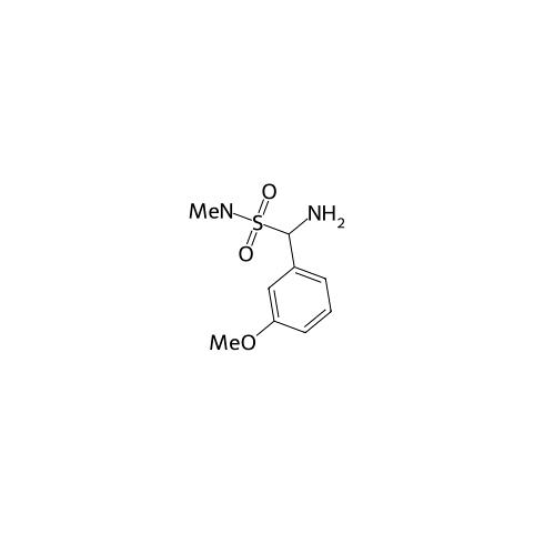 CNS(=O)(=O)C(N)c1cccc(OC)c1